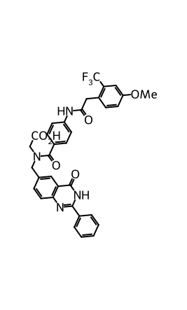 COc1ccc(CC(=O)Nc2ccc(C(=O)N(CC(=O)O)Cc3ccc4nc(-c5ccccc5)[nH]c(=O)c4c3)cc2)c(C(F)(F)F)c1